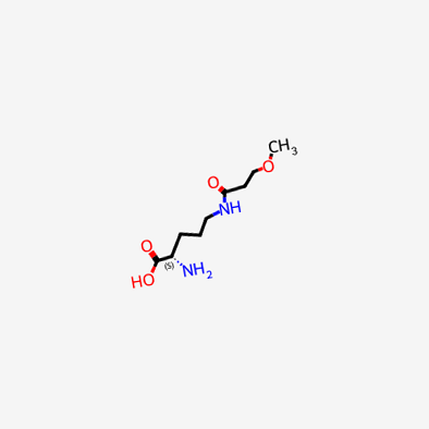 COCCC(=O)NCCC[C@H](N)C(=O)O